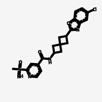 CS(=N)(=O)c1cc(C(=O)NC2CC3(C2)CC(c2nc4cc(Cl)ccc4o2)C3)ccn1